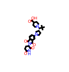 CC(C)(C)C([C@@H]1CCN(c2ccc3c(c2)C(=O)N(C2CCC(=O)NC2=O)C3=O)C1)N1CCC(C(=O)O)CC1